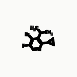 CC(C)c1c(C2CC2)ncc(F)c1Br